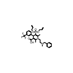 C=CCOP(=O)(OCC=C)C1=C(C)N(CCN(C)Cc2ccccc2)C(C)=C(C(=O)O)C1c1cccc(C(F)(F)F)c1